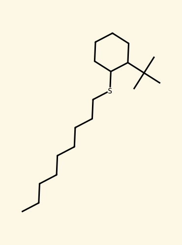 CCCCCCCCCSC1CCCCC1C(C)(C)C